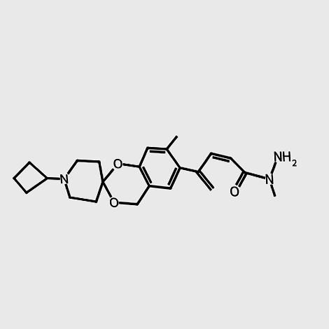 C=C(/C=C\C(=O)N(C)N)c1cc2c(cc1C)OC1(CCN(C3CCC3)CC1)OC2